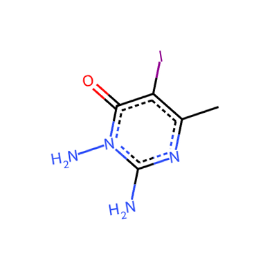 Cc1nc(N)n(N)c(=O)c1I